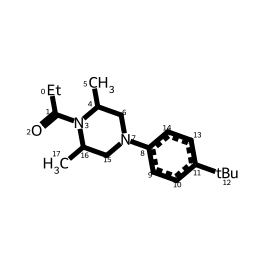 CCC(=O)N1C(C)CN(c2ccc(C(C)(C)C)cc2)CC1C